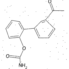 CC(=O)c1cccc(-c2ccccc2OC(N)=O)c1